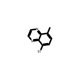 CCc1ccc(C)c2nccnc12